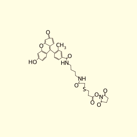 Cc1cc(C(=O)NCCCCNC(=O)CSCCC(=O)ON2C(=O)CCC2=O)ccc1-c1c2ccc(=O)cc-2oc2cc(O)ccc12